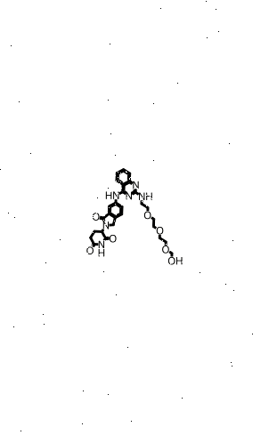 O=C1CCC(N2Cc3ccc(Nc4nc(NCCOCCOCCOCO)nc5ccccc45)cc3C2=O)C(=O)N1